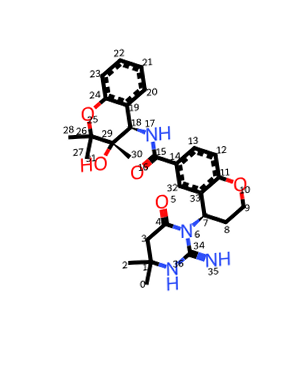 CC1(C)CC(=O)N([C@@H]2CCOc3ccc(C(=O)N[C@@H]4c5ccccc5OC(C)(C)[C@@]4(C)O)cc32)C(=N)N1